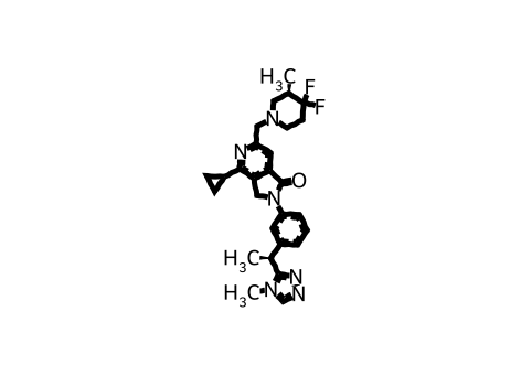 C[C@@H](c1cccc(N2Cc3c(cc(CN4CCC(F)(F)[C@H](C)C4)nc3C3CC3)C2=O)c1)c1nncn1C